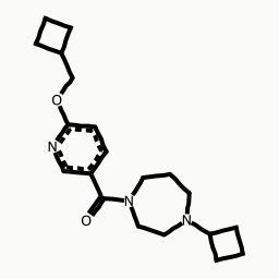 O=C(c1ccc(OCC2CCC2)nc1)N1CCCN(C2CCC2)CC1